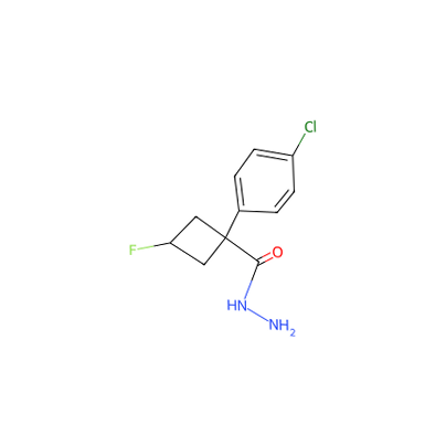 NNC(=O)C1(c2ccc(Cl)cc2)CC(F)C1